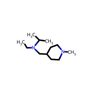 CCN(CC1CCN(C)CC1)C(C)C